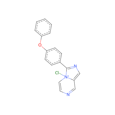 Cl[N+]12C=CN=CC1=CN=C2c1ccc(Oc2ccccc2)cc1